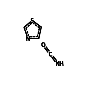 N=C=O.c1cscn1